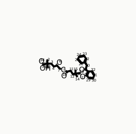 CC(C)(CCC(=O)CCC(=O)CCC(C)(C)C(=O)OC(Cc1ccccc1)c1ccccc1)C(=O)O